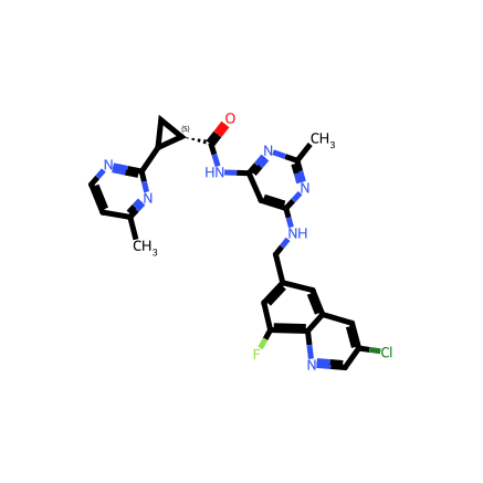 Cc1ccnc(C2C[C@@H]2C(=O)Nc2cc(NCc3cc(F)c4ncc(Cl)cc4c3)nc(C)n2)n1